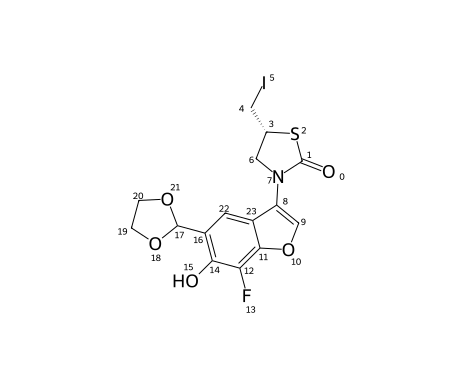 O=C1S[C@@H](CI)CN1c1coc2c(F)c(O)c(C3OCCO3)cc12